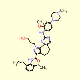 CCc1cccc(CC)c1NC(=O)c1nn(CCCO)c2c1CCCc1cnc(Nc3ccc(N4CCN(C)CC4)cc3OC)nc1-2